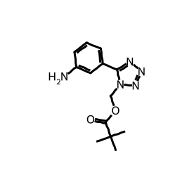 CC(C)(C)C(=O)OCn1nnnc1-c1cccc(N)c1